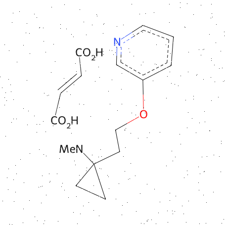 CNC1(CCOc2cccnc2)CC1.O=C(O)C=CC(=O)O